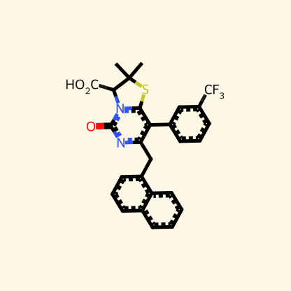 CC1(C)Sc2c(-c3cccc(C(F)(F)F)c3)c(Cc3cccc4ccccc34)nc(=O)n2C1C(=O)O